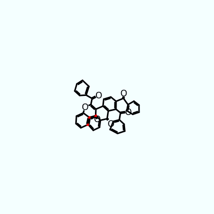 O=C(c1ccccc1)c1ccc(-c2c(C(=O)c3ccccc3)oc3ccccc3c2=O)c(C(=O)c2ccccc2)c1C(=O)c1ccccc1